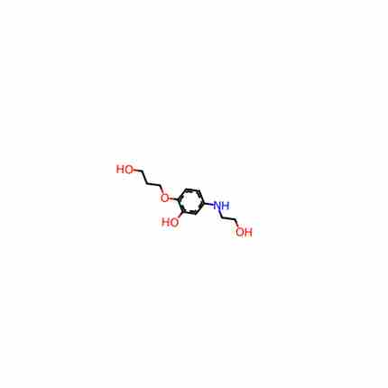 OCCCOc1ccc(NCCO)cc1O